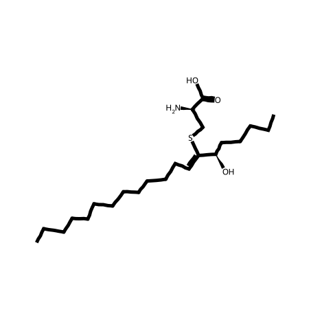 CCCCCCCCCCCCC=C(SC[C@@H](N)C(=O)O)[C@H](O)CCCCC